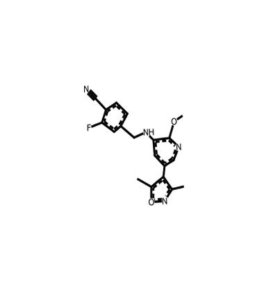 COc1ncc(-c2c(C)noc2C)cc1NCc1ccc(C#N)c(F)c1